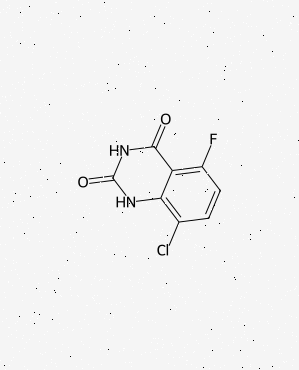 O=c1[nH]c(=O)c2c(F)ccc(Cl)c2[nH]1